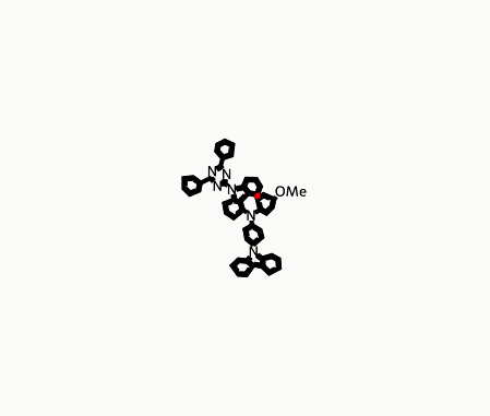 COc1ccc(N(c2ccc(-n3c4ccccc4c4ccccc43)cc2)c2cccc3c2c2ccccc2n3-c2nc(-c3ccccc3)nc(-c3ccccc3)n2)cc1